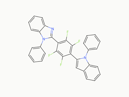 Fc1c(F)c(-c2nc3ccccc3n2-c2ccccc2)c(F)c(F)c1-c1cc2ccccc2n1-c1ccccc1